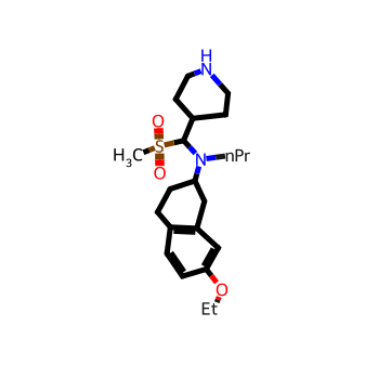 CCCN(C1CCc2ccc(OCC)cc2C1)C(C1CCNCC1)S(C)(=O)=O